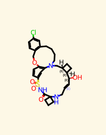 O=C1NS(=O)(=O)c2ccc3c(c2)N(CCCCc2cc(Cl)ccc2CO3)C[C@@H]2CC[C@H]2[C@@H](O)/C=C/CNC12CCC2